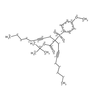 CCCCCC#CCC(CC#CCCCCC)(C(=O)OC(C)(C)C)S(=O)(=O)c1ccc(OC)cc1